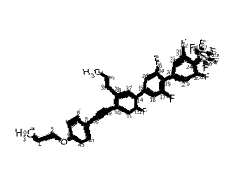 CCCOc1ccc(C#CC2=CC(F)C(c3cc(F)c(C4=CC(F)C(S(F)(F)(F)(F)F)C(F)=C4)c(F)c3)C=C2CCC)cc1